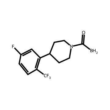 BC(=O)N1CCC(c2cc(F)ccc2C(F)(F)F)CC1